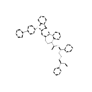 C=C/C(=C\CC/C(=N\C(=C)C1CCc2cc3c(cc2-c2ccccc21)c1ccccc1n3-c1ccc(-c2ccccc2)cc1)c1ccccc1)c1ccccc1